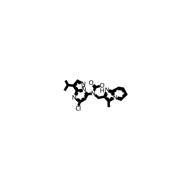 Cc1c(CN(C(=O)O)c2cc(Cl)nc3c(C(C)C)cnn23)nc2ccccn12